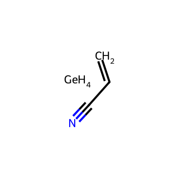 C=CC#N.[GeH4]